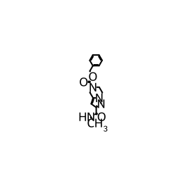 CNC(=O)c1cc2n(n1)CCN(C(=O)OCc1ccccc1)C2